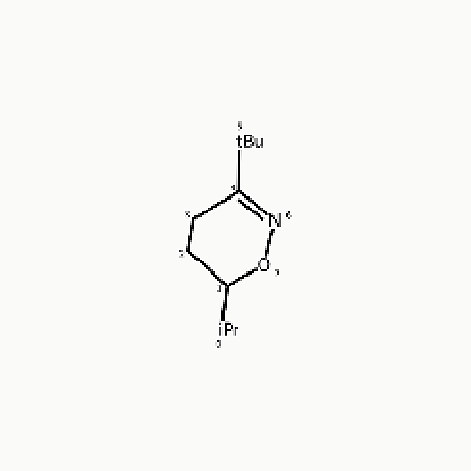 CC(C)C1CCC(C(C)(C)C)=NO1